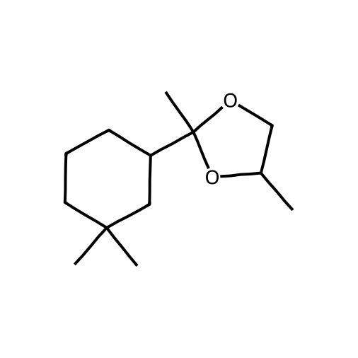 CC1COC(C)(C2CCCC(C)(C)C2)O1